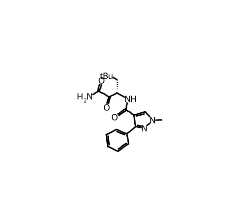 Cn1cc(C(=O)N[C@@H](CC(C)(C)C)C(=O)C(N)=O)c(-c2ccccc2)n1